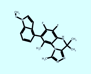 CSn1ccc2c(-c3c(C)c4c(c(F)c3F)NC(C)(C)c3nnc(C)n3-4)cccc21